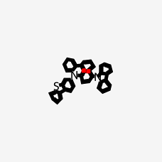 C1=C(c2ccccc2)C(N(c2ccc(-n3c4ccccc4c4ccccc43)cc2)c2ccc3c(c2)sc2ccccc23)=CCC1